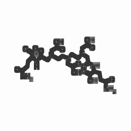 NC(=O)CCC(NC(=O)CN(CCN(CCN(CC(=O)O)CC(=O)NC(CCC(N)=O)C(=O)O)CC(=O)O)CC(=O)O)C(=O)O